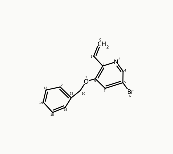 C=Cc1ncc(Br)cc1OCc1ccccc1